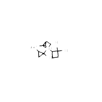 CC1CC1(C)[SH]12(C3CCC3(C)C)CC(C1)C2C